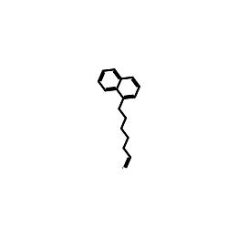 [CH]=CCCCCCc1cccc2ccccc12